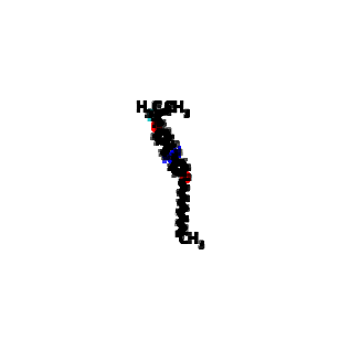 CCCCCCCCCCCCOc1ccc(-c2ncc(-c3ccc(OCC(F)C(C)CC)cc3)cn2)cc1